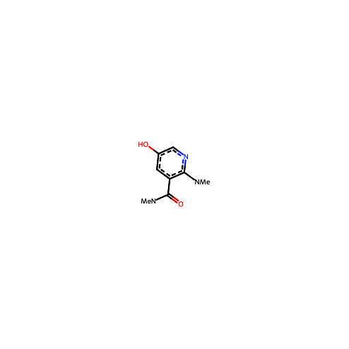 CNC(=O)c1cc(O)cnc1NC